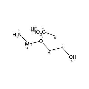 CC(=O)O.F.[NH2][Mn][O]CCO